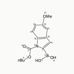 CCCCOC(=O)n1c(B(O)O)cc2cc(OC)ccc21